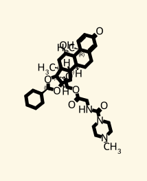 CN1CCN(C(=O)NCC(=O)OCC(=O)[C@@]23O[C@H](C4CCCCC4)O[C@@H]2C[C@H]2[C@@H]4CCC5=CC(=O)C=C[C@]5(C)C4[C@@H](O)C[C@@]23C)CC1